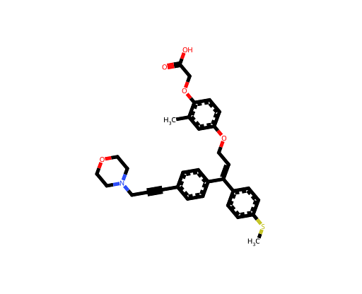 CSc1ccc(C(=CCOc2ccc(OCC(=O)O)c(C)c2)c2ccc(C#CCN3CCOCC3)cc2)cc1